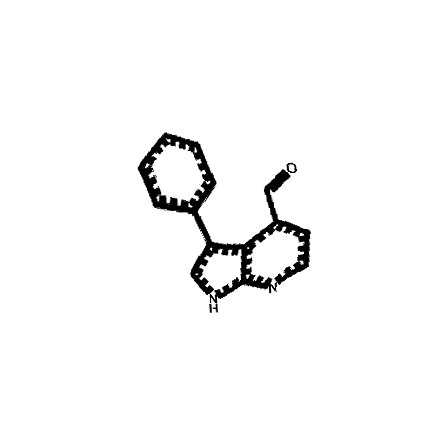 O=Cc1ccnc2[nH]cc(-c3ccccc3)c12